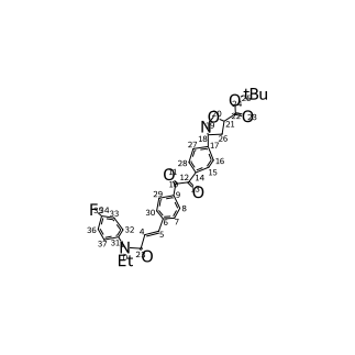 CCN(C(=O)C=Cc1ccc(C(=O)C(=O)c2ccc(C3=NOC(C(=O)OC(C)(C)C)C3)cc2)cc1)c1ccc(F)cc1